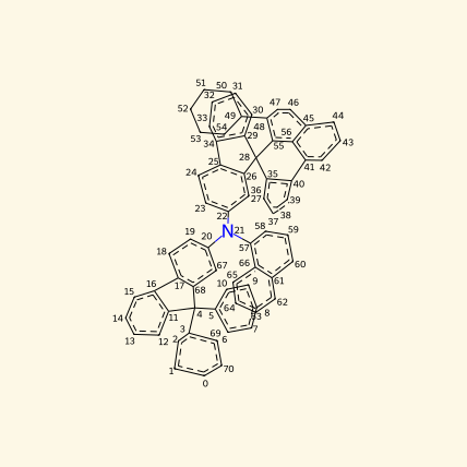 c1ccc(C2(c3ccccc3)c3ccccc3-c3ccc(N(c4ccc5c(c4)C4(c6ccccc6-5)c5ccccc5-c5cccc6ccc(C7CCCCC7)c4c56)c4cccc5ccccc45)cc32)cc1